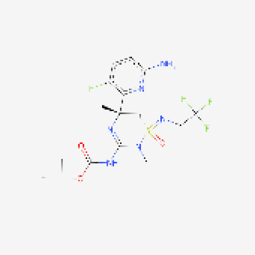 CN1C(NC(=O)OC(C)(C)C)=N[C@](C)(c2nc(N)ccc2F)C[S@@]1(=O)=NCC(F)(F)F